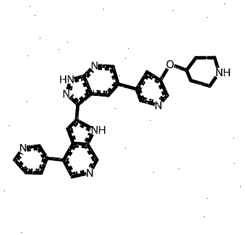 c1cncc(-c2cncc3[nH]c(-c4n[nH]c5ncc(-c6cncc(OC7CCNCC7)c6)cc45)cc23)c1